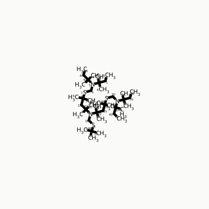 CCC(C)(C)N(CSC(C)(C)CC(C)(C)N(CSC(C)(C)C)C(C)(C)CC(C)(C)SCN(C(C)(C)CC)C(C)(C)CC)C(C)(C)CC